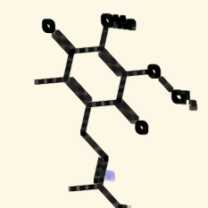 CC/C(C)=C/CC1=C(C)C(=O)C(OC)=C(OC(F)(F)F)C1=O